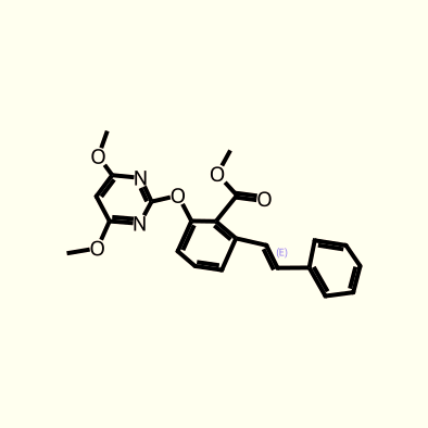 COC(=O)c1c(/C=C/c2ccccc2)cccc1Oc1nc(OC)cc(OC)n1